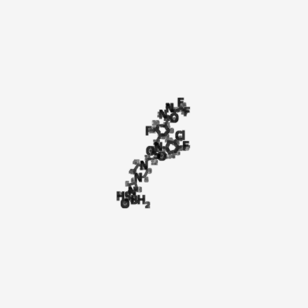 B[SH](C)(=O)N1CC(N2CCN(CCS(=O)(=O)N(Cc3ccc(-c4nnc(C(F)F)o4)cc3F)c3ccc(F)c(Cl)c3)CC2)C1